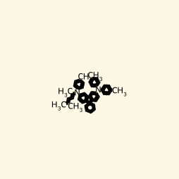 CC(C)=C/C=C(\C)N(c1ccc(C)cc1)c1ccc(C2(c3ccc(N(c4ccc(C)cc4)c4ccc(C)cc4)cc3)CCCCC2)cc1